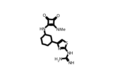 CNc1c(NC2CCCC(c3csc(NC(=N)N)n3)C2)c(=O)c1=O